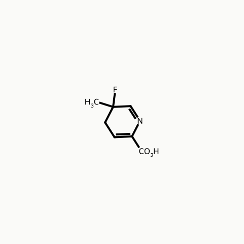 CC1(F)C=NC(C(=O)O)=CC1